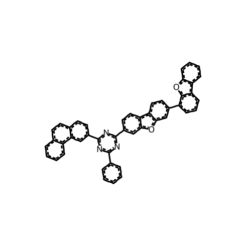 c1ccc(-c2nc(-c3ccc4c(c3)oc3cc(-c5cccc6c5oc5ccccc56)ccc34)nc(-c3ccc4ccc5ccccc5c4c3)n2)cc1